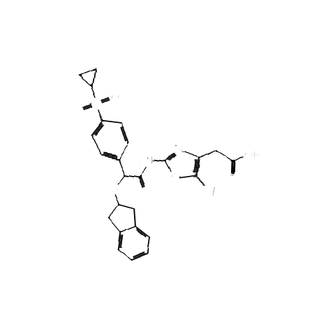 O=C(O)Cc1nc(NC(=O)C(OC2Cc3ccccc3C2)c2ccc(S(=O)(=O)C3CC3)cc2)sc1Cl